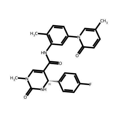 Cc1ccc(=O)n(-c2ccc(C)c(NC(=O)C3=CN(C)C(=O)N[C@H]3c3ccc(F)cc3)c2)c1